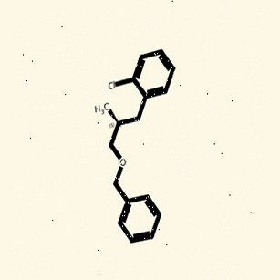 C[C@H](COCc1ccccc1)Cc1ccccc1Cl